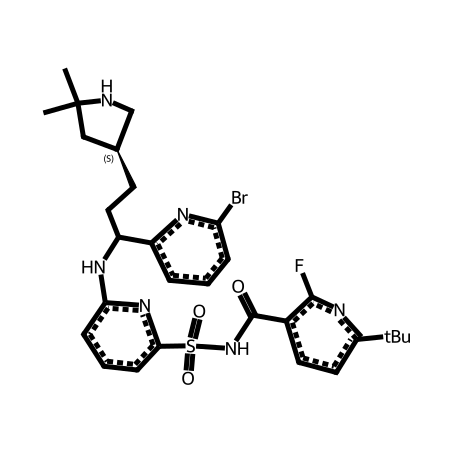 CC1(C)C[C@H](CCC(Nc2cccc(S(=O)(=O)NC(=O)c3ccc(C(C)(C)C)nc3F)n2)c2cccc(Br)n2)CN1